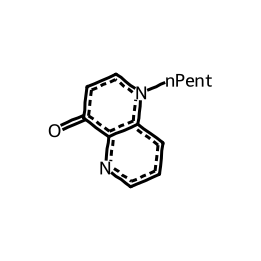 CCCCCn1ccc(=O)c2ncccc21